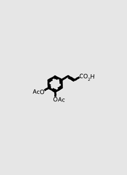 CC(=O)Oc1ccc(/C=C/C(=O)O)cc1OC(C)=O